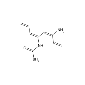 BC(=O)NC(/C=C(/N)C=C)=C/C=C